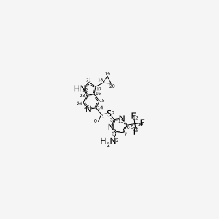 CC(Sc1nc(N)cc(C(F)(F)F)n1)c1cc2c(C3CC3)c[nH]c2cn1